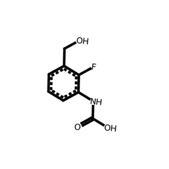 O=C(O)Nc1cccc(CO)c1F